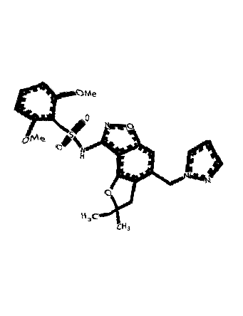 COc1cccc(OC)c1S(=O)(=O)Nc1noc2cc(Cn3cccn3)c3c(c12)OC(C)(C)C3